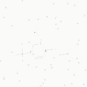 O[C@H]1c2c(C(F)(F)F)ccc(OCC(F)F)c2CC1(F)F